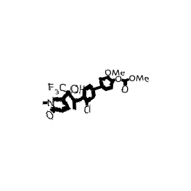 COC(=O)Oc1ccc(-c2ccc(C(C)C(O)(c3ccc(=O)n(C)c3)C(F)(F)F)c(Cl)c2)cc1OC